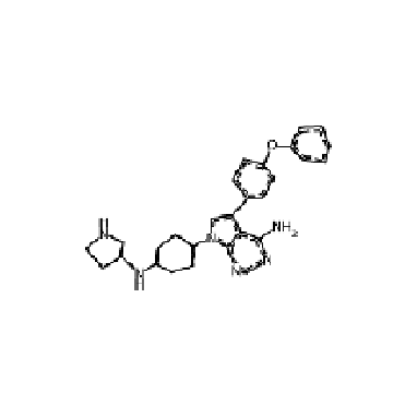 Nc1ncnc2c1c(-c1ccc(Oc3ccccc3)cc1)cn2C1CCC(N[C@H]2CCNC2)CC1